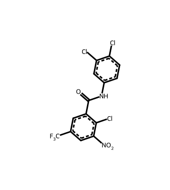 O=C(Nc1ccc(Cl)c(Cl)c1)c1cc(C(F)(F)F)cc([N+](=O)[O-])c1Cl